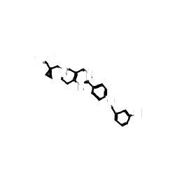 COC(=O)C1(CN2CCc3nc(-c4ccc(OCc5cccc(Cl)c5)cc4)ncc3C2)CC1